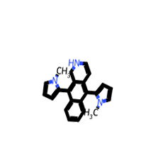 Cn1cccc1-c1c2c(c(-c3cccn3C)c3ccccc13)CNC=C2